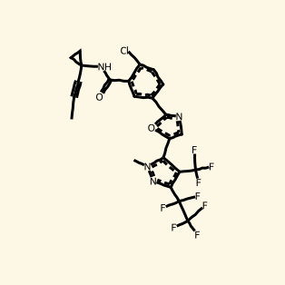 CC#CC1(NC(=O)c2cc(-c3ncc(-c4c(C(F)(F)F)c(C(F)(F)C(F)(F)F)nn4C)o3)ccc2Cl)CC1